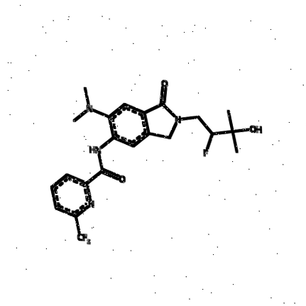 CN(C)c1cc2c(cc1NC(=O)c1cccc(C(F)(F)F)n1)CN(CC(F)C(C)(C)O)C2=O